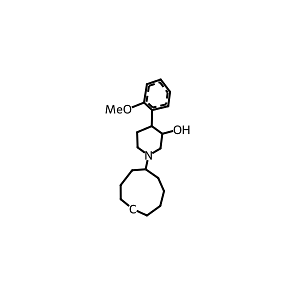 COc1ccccc1C1CCN(C2CCCCCCCC2)CC1O